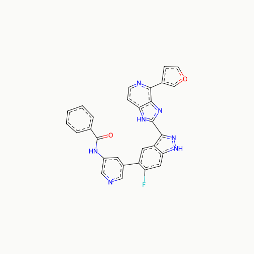 O=C(Nc1cncc(-c2cc3c(-c4nc5c(-c6ccoc6)nccc5[nH]4)n[nH]c3cc2F)c1)c1ccccc1